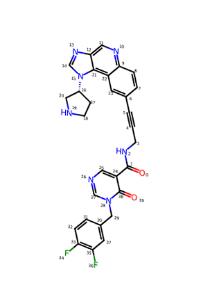 O=C(NCC#Cc1ccc2ncc3ncn([C@@H]4CCNC4)c3c2c1)c1cncn(Cc2ccc(F)c(F)c2)c1=O